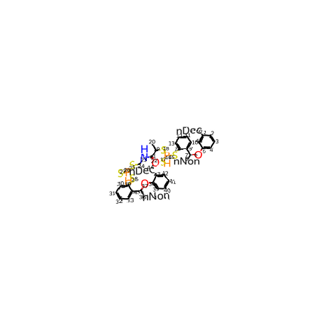 CCCCCCCCCCc1cccc(OC(CCCCCCCCC)c2ccccc2S[PH](=S)SC(C)C(=O)NCS[PH](=S)Sc2ccccc2C(CCCCCCCCC)Oc2ccccc2CCCCCCCCCC)c1